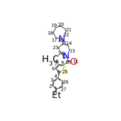 CCc1ccc(-c2cc(C)c(C(=O)N3CCC(N4CCCCCC4)CC3)s2)cc1